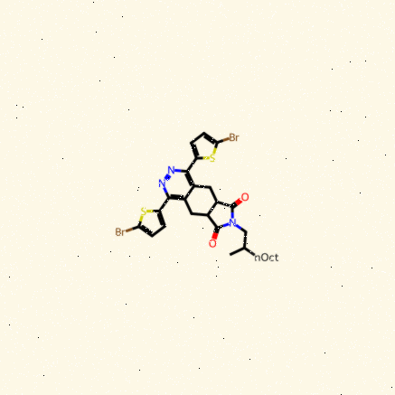 CCCCCCCCC(C)CN1C(=O)C2Cc3c(-c4ccc(Br)s4)nnc(-c4ccc(Br)s4)c3CC2C1=O